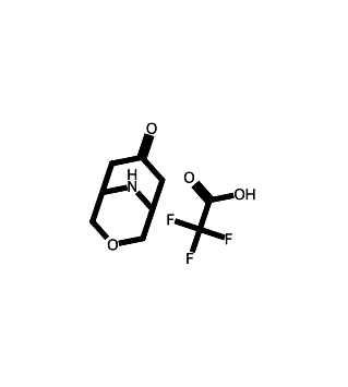 O=C(O)C(F)(F)F.O=C1CC2COCC(C1)N2